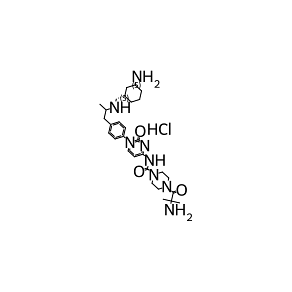 CC(Cc1ccc(-n2ccc(NC(=O)N3CCN(C(=O)C(C)(C)N)CC3)nc2=O)cc1)NC[C@H]1CCC[C@H](N)C1.Cl